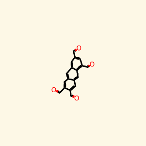 O=Cc1cc(C=O)c2cc3cc(C=O)c(C=O)cc3cc2c1